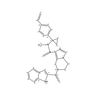 CN(C(=O)c1ncn2c1CN(C(=O)c1cc3ccccc3[nH]1)CC2)C1(c2ccc(C=O)cc2)CC1